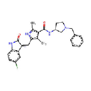 Cc1[nH]c(/C=C2\C(=O)Nc3ccc(F)cc32)c(C)c1C(=O)NC1CCN(Cc2ccccc2)C1